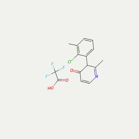 CC1=NC=CC(=O)C1c1cccc(C)c1Cl.O=C(O)C(F)(F)F